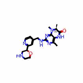 Cc1nc(NCc2ccnc(C3CNCCO3)c2)nc2c1NC(=O)[C@H](C)N2C